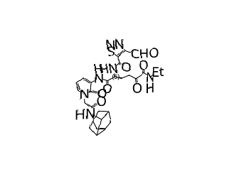 CCNC(=O)C(=O)CC[C@H](NC(=O)c1snnc1C=O)C(=O)Nc1cccn(CC(=O)NC2C3CC4CC(C3)C2C4)c1=O